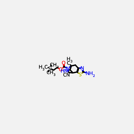 CC12Cc3nc(N)sc3C(CN1C(=O)OCC[Si](C)(C)C)C2NC#N